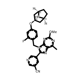 COc1nc(C)c2nc(-c3cncc(C#N)c3)n(Cc3ccc(O[C@H]4C[C@H]5CC[C@@H](C4)N5)cc3F)c2n1